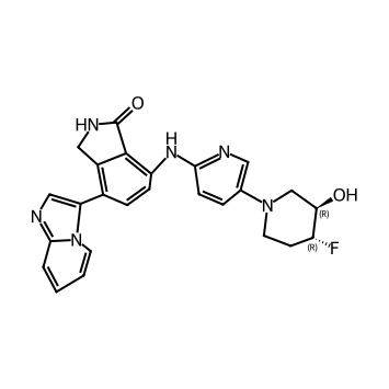 O=C1NCc2c(-c3cnc4ccccn34)ccc(Nc3ccc(N4CC[C@@H](F)[C@H](O)C4)cn3)c21